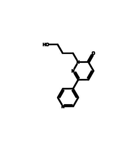 O=c1ccc(-c2ccncc2)nn1CCCO